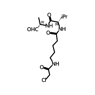 CC(C)[C@H](NC(=O)CCCCNC(=O)CCl)C(=O)N[C@@H](C)C=O